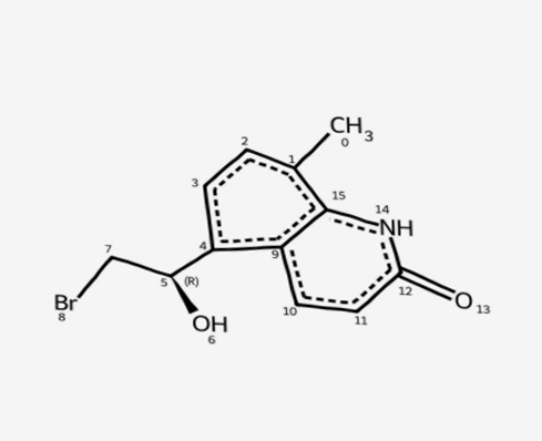 Cc1ccc([C@@H](O)CBr)c2ccc(=O)[nH]c12